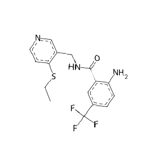 CCSc1ccncc1CNC(=O)c1cc(C(F)(F)F)ccc1N